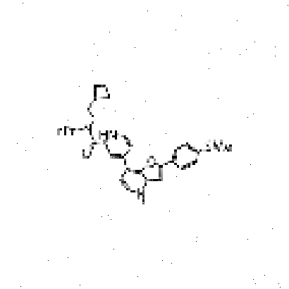 CCCN(CCC1CCC1)C(=O)C1C=C(C2=C3OC(c4ccc(SC)cc4)=CC3N(C)C=C2)C=CN1